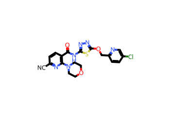 N#Cc1ccc(C(=O)Nc2nnc(OCc3ccc(Cl)cn3)s2)c(N2CCOCC2)n1